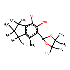 Bc1c(B2OC(C)(C)C(C)(C)O2)c(O)c(O)c2c1C(C)(C)C(C)(C)C2(C)C